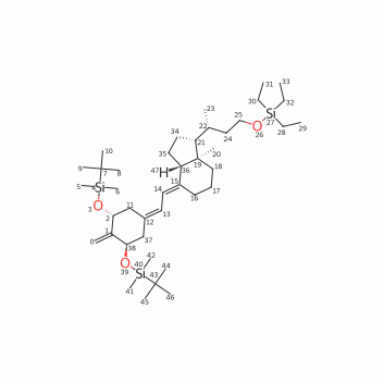 C=C1[C@H](O[Si](C)(C)C(C)(C)C)CC(=C/C=C2\CCC[C@]3(C)[C@@H]([C@H](C)CCO[Si](CC)(CC)CC)CC[C@@H]23)C[C@H]1O[Si](C)(C)C(C)(C)C